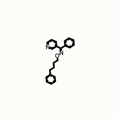 c1ccc(CCCCON=C(c2ccccc2)c2cccnc2)cc1